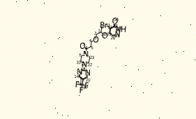 CC(COCCC(=O)N1CCN(c2ncc(C(F)(F)F)cn2)CC1)Oc1cn[nH]c(=O)c1Br